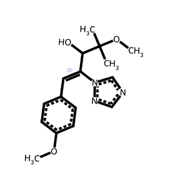 COc1ccc(/C=C(/C(O)C(C)(C)OC)n2cncn2)cc1